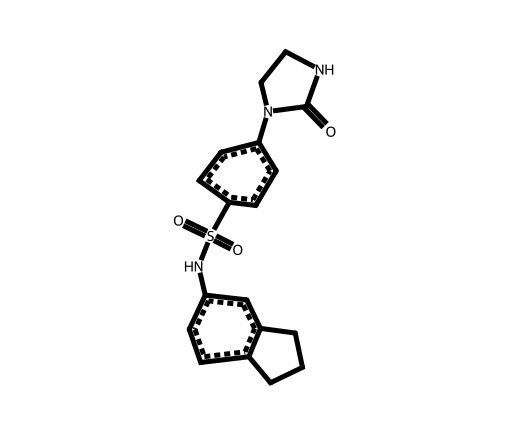 O=C1NCCN1c1ccc(S(=O)(=O)Nc2ccc3c(c2)CCC3)cc1